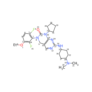 CCOc1ccc(F)c(N2Cc3cnc(NC4CCC(N(C)C)CC4)nc3N(C3CCCC3)C2=O)c1F